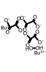 O=C([O-])C(=O)[O-].O=C([O-])C(=O)[O-].O=C([O-])C(=O)[O-].OO.[Ru+3].[Ru+3]